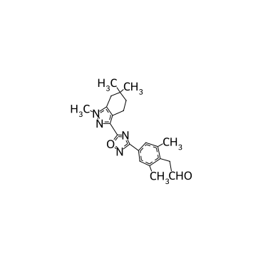 Cc1cc(-c2noc(-c3nn(C)c4c3CCC(C)(C)C4)n2)cc(C)c1CC=O